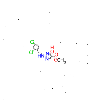 COC(=O)c1cnc(NCCc2ccc(Cl)cc2Cl)nc1O